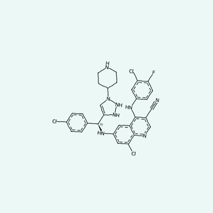 N#Cc1cnc2c(Cl)cc(N[C@H](C3=CN(C4CCNCC4)NN3)c3ccc(Cl)cc3)cc2c1Nc1ccc(F)c(Cl)c1